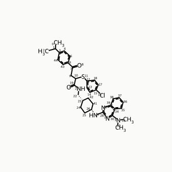 CC(C)c1ccc(C(=O)CC(Sc2ccc(Cl)cc2)C(=O)NC[C@H]2CC[C@@H](Nc3nc(N(C)C)c4ccccc4n3)CC2)cc1